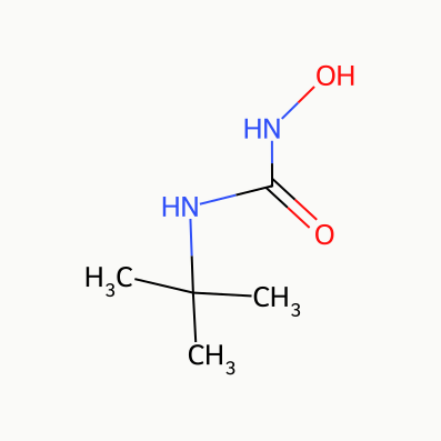 CC(C)(C)NC(=O)NO